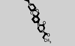 CCC(=O)N1CCN(c2ccc3c(c2)COC2(CCN(C4CCC4)CC2)O3)C(=O)C1